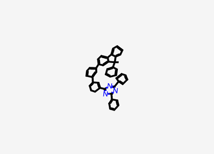 CC1(c2ccccc2)c2ccccc2-c2ccc(-c3cccc(C4=CCCC(c5nc(-c6ccccc6)nc(-c6ccccc6)n5)=C4)c3)cc21